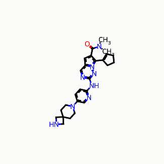 CN(C)C(=O)c1cc2cnc(Nc3ccc(N4CCC5(CC4)CNC5)cn3)nn2c1C1=CCCC1